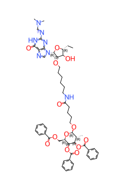 CC[C@H]1O[C@@H](n2cnc3c(=O)[nH]c(/N=C/N(C)C)nc32)[C@@H](OCCCCCCNC(=O)CCCCO[C@@H]2O[C@H](COC(=O)c3ccccc3)[C@H](OC(=O)c3ccccc3)[C@H](OC(=O)c3ccccc3)[C@H]2C)C1O